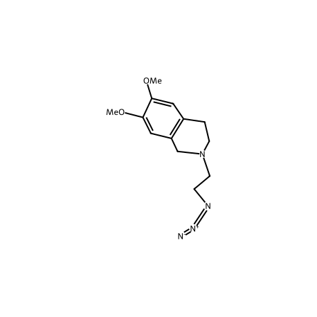 COc1cc2c(cc1OC)CN(CCN=[N+]=[N-])CC2